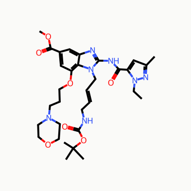 CCn1nc(C)cc1C(=O)Nc1nc2cc(C(=O)OC)cc(OCCCN3CCOCC3)c2n1C/C=C/CNC(=O)OC(C)(C)C